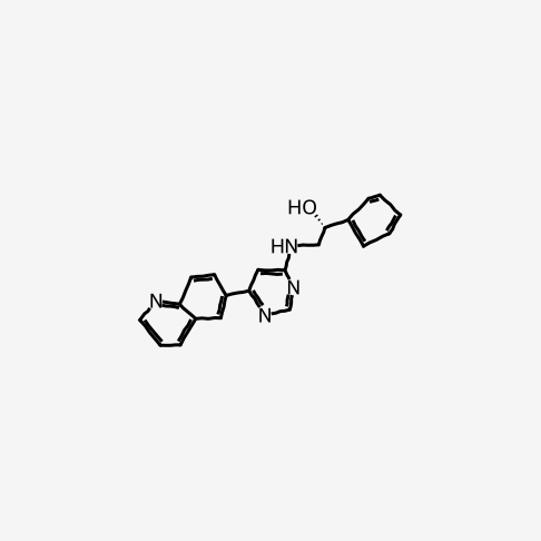 O[C@@H](CNc1cc(-c2ccc3ncccc3c2)ncn1)c1ccccc1